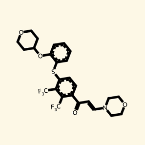 O=C(C=CN1CCOCC1)c1ccc(Sc2ccccc2OC2CCOCC2)c(C(F)(F)F)c1C(F)(F)F